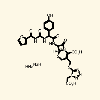 O=C(O)Cn1nnnc1SCC1=C(C(=O)O)N2C(=O)C(NC(=O)C(NC(=O)NC(=O)c3ccco3)c3ccc(O)cc3)[C@H]2SC1.[NaH].[NaH]